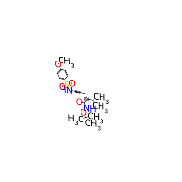 COc1ccc(S(=O)(=O)NC#CC[C@@H](C(=O)NOC(C)(C)C)C(C)C)cc1